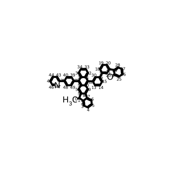 CC1c2ccccc2-c2cc3c(-c4cccc(-c5cccc6c5oc5ccccc56)c4)c4ccccc4c(-c4ccc(-c5ccccn5)cc4)c3cc21